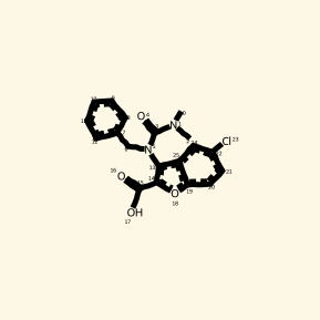 CN(C)C(=O)N(Cc1ccccc1)c1c(C(=O)O)oc2ccc(Cl)cc12